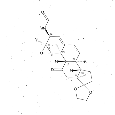 C[C@@]12C(=C[C@H](NC=O)[C@@H]3O[C@@H]31)CC[C@@H]1[C@@H]2C(=O)C[C@@]2(C)[C@H]1CCC21OCCO1